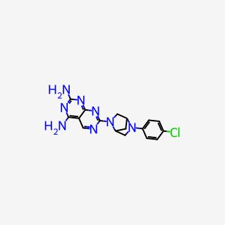 Nc1nc(N)c2cnc(N3CC4CC3CN4c3ccc(Cl)cc3)nc2n1